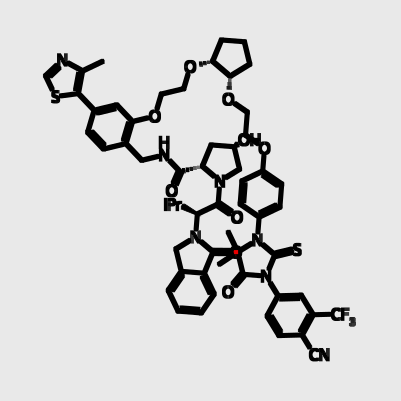 Cc1ncsc1-c1ccc(CNC(=O)[C@@H]2C[C@@H](O)CN2C(=O)[C@H](C(C)C)N2Cc3ccccc3C2=O)c(OCCO[C@@H]2CCC[C@@H]2OCCOc2ccc(N3C(=S)N(c4ccc(C#N)c(C(F)(F)F)c4)C(=O)C3(C)C)cc2)c1